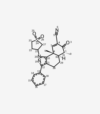 C[C@H]1C(=O)C(C#N)=C[C@@]2(C)c3c(c(-c4ccccc4)nn3C3CCS(=O)(=O)C3)CC[C@H]12